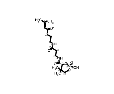 CC(C)=CC(=O)SCCNC(=O)CCNC(=O)[C@@H]1OP(=O)(O)OCC1(C)C